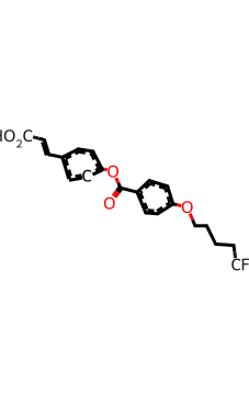 O=C(O)/C=C/c1ccc(OC(=O)c2ccc(OCCCCC(F)(F)F)cc2)cc1